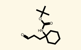 CC(C)(C)OC(=O)NC1(CCC=O)CCCCC1